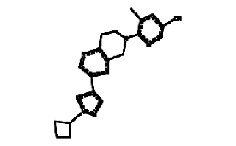 Cc1cc(C#N)cnc1N1CCc2ncc(-c3cnn(C4CCC4)c3)cc2C1